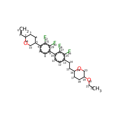 C=CC1CCC(c2ccc(-c3ccc(CCC4CCC(OCC)CO4)c(F)c3F)c(F)c2F)CO1